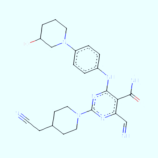 N#CCC1CCN(c2nc(C=N)c(C(N)=O)c(Nc3ccc(N4CCCC(O)C4)cc3)n2)CC1